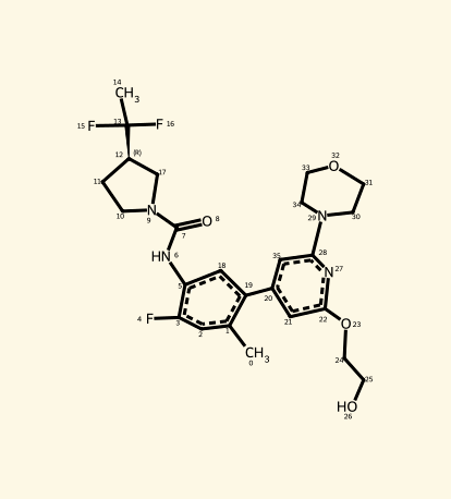 Cc1cc(F)c(NC(=O)N2CC[C@@H](C(C)(F)F)C2)cc1-c1cc(OCCO)nc(N2CCOCC2)c1